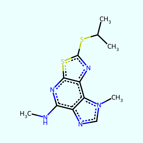 CNc1nc2sc(SC(C)C)nc2c2c1ncn2C